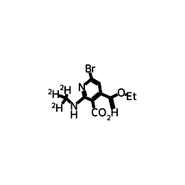 [2H]C([2H])([2H])Nc1nc(Br)cc(C(=C)OCC)c1C(=O)O